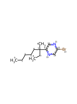 CCCCCC(C)(CC)c1cnc(Br)cn1